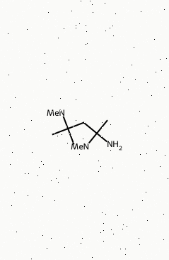 CNC(C)(C)CC(C)(N)NC